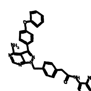 Nc1ccccc1NC(=O)Cc1ccc(Cn2nc(-c3ccc(Oc4ccccc4)cc3)c3c(N)ncnc32)cc1